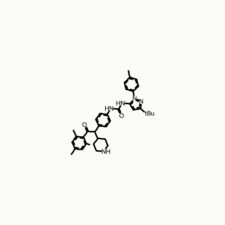 Cc1ccc(-n2nc(C(C)(C)C)cc2NC(=O)Nc2ccc(C(C(=O)c3c(C)cc(C)cc3C)C3CCNCC3)cc2)cc1